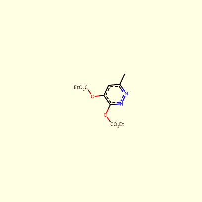 CCOC(=O)Oc1cc(C)nnc1OC(=O)OCC